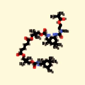 C=C(C)C(=O)OCCN(C(=O)NC1CC(C)(C)CC(C)(CNC(=O)OCC(C)(C)COC(=O)CCCCC(=O)OCC(C)(C)COC(=O)NCC2(C)CC(C)CC(C)(C)C2)C1)C(C)(C)C